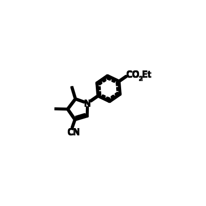 CCOC(=O)c1ccc(N2C=C(C#N)C(C)C2C)cc1